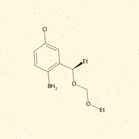 Bc1ccc(Cl)cc1[C@@H](CC)OCOCC